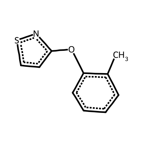 Cc1ccccc1Oc1ccsn1